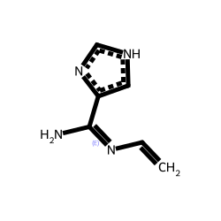 C=C/N=C(/N)c1c[nH]cn1